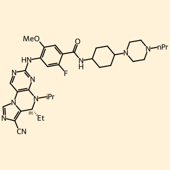 CCCN1CCN(C2CCC(NC(=O)c3cc(OC)c(Nc4ncc5c(n4)N(C(C)C)[C@H](CC)c4c(C#N)ncn4-5)cc3F)CC2)CC1